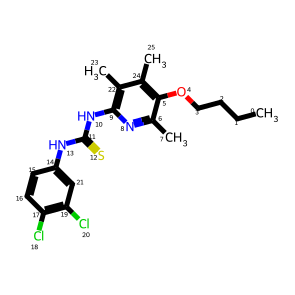 CCCCOc1c(C)nc(NC(=S)Nc2ccc(Cl)c(Cl)c2)c(C)c1C